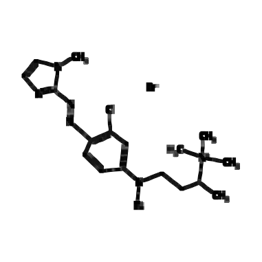 CCN(CCC(C)[N+](C)(C)C)c1ccc(/N=N/c2nccn2C)c(Cl)c1.[Br-]